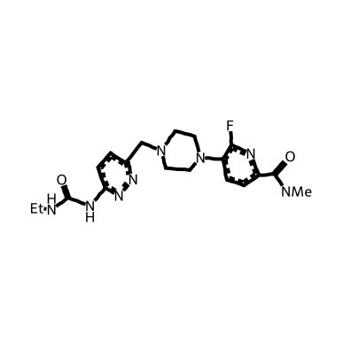 CCNC(=O)Nc1ccc(CN2CCN(c3ccc(C(=O)NC)nc3F)CC2)nn1